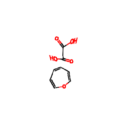 C1=CC=COC=C1.O=C(O)C(=O)O